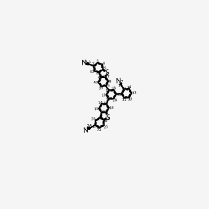 N#Cc1ccc2sc3cc(-c4cc(-c5ccc6c(c5)sc5ccc(C#N)cc56)cc(-c5ccccc5C#N)c4)ccc3c2c1